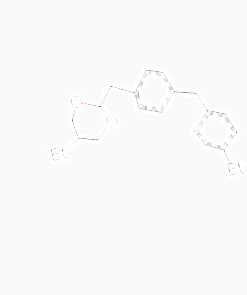 [CH2-][CH+]C1COC(Cc2ccc(Cc3ccc(CC)cc3)cc2)OC1